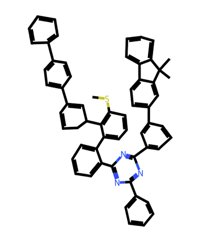 CSc1cccc(-c2ccccc2-c2nc(-c3ccccc3)nc(-c3cccc(-c4ccc5c(c4)C(C)(C)c4ccccc4-5)c3)n2)c1C1C=C(c2ccc(-c3ccccc3)cc2)C=CC1